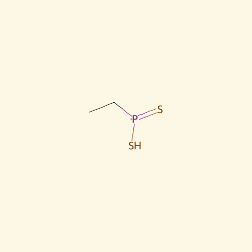 CC[P](=S)S